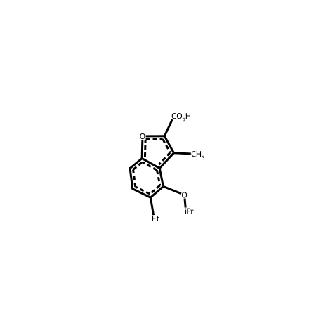 CCc1ccc2oc(C(=O)O)c(C)c2c1OC(C)C